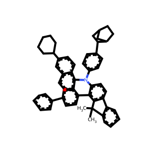 CC1(C)c2ccccc2-c2ccc(N(c3ccc(C4CC5CCC4C5)cc3)c3cccc4cc(C5CCCCC5)ccc34)c(-c3ccc(-c4ccccc4)cc3)c21